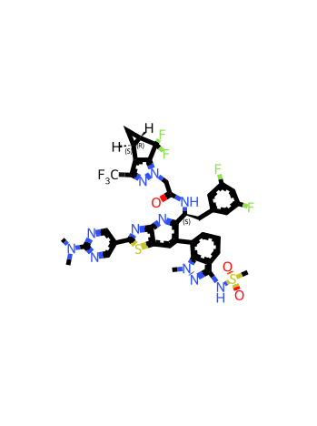 CN(C)c1ncc(-c2nc3nc([C@H](Cc4cc(F)cc(F)c4)NC(=O)Cn4nc(C(F)(F)F)c5c4C(F)(F)[C@@H]4C[C@H]54)c(-c4cccc5c(NS(C)(=O)=O)nn(C)c45)cc3s2)cn1